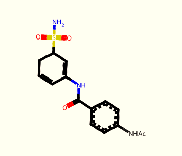 CC(=O)Nc1ccc(C(=O)NC2=CC(S(N)(=O)=O)CC=C2)cc1